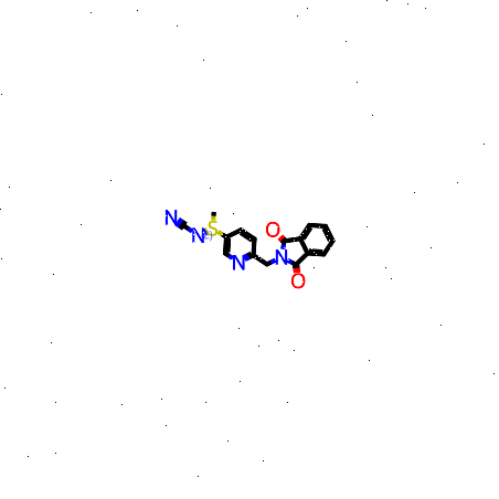 C/S(=N\C#N)c1ccc(CN2C(=O)c3ccccc3C2=O)nc1